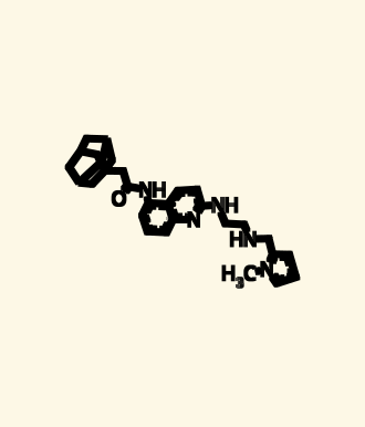 Cn1cccc1CNCCNc1ccc2c(NC(=O)CC34CC5CC(CC(C5)C3)C4)cccc2n1